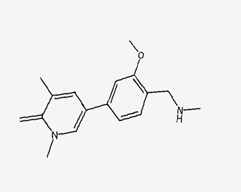 C=C1C(C)=CC(c2ccc(CNC)c(OC)c2)=CN1C